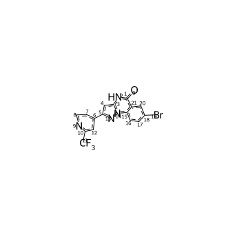 O=c1[nH]c2cc(-c3ccnc(C(F)(F)F)c3)nn2c2ccc(Br)cc12